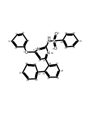 O=S(=O)(Nc1nc(Oc2ccccc2)cc(-c2ccccc2-c2ccccc2)n1)c1ccccc1